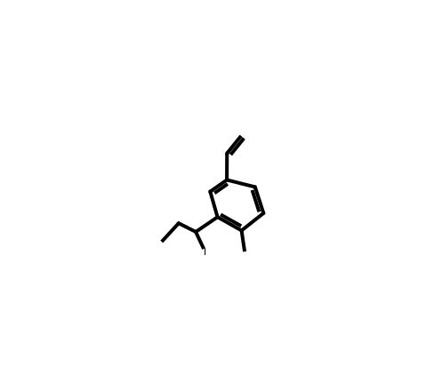 C=Cc1ccc(C)c(C(I)CC)c1